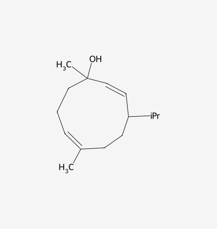 CC1=CCCC(C)(O)C=CC(C(C)C)CC1